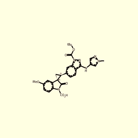 COc1ccc2c(c1)[C@]1(C[C@H]1c1ccc3c(Nc4cnn(C)c4)nn(C(=O)OC(C)(C)C)c3c1)C(=O)N2C(=O)O